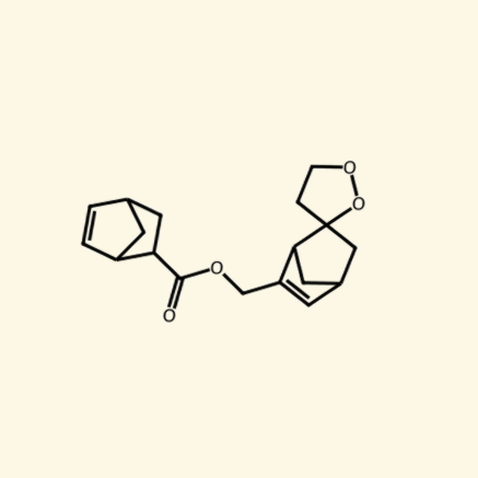 O=C(OCC1=CC2CC1C1(CCOO1)C2)C1CC2C=CC1C2